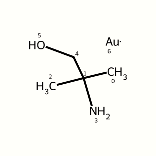 CC(C)(N)CO.[Au]